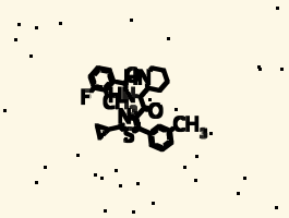 Cc1cccc(-c2sc(C3CC3)nc2C(=O)[C@@H](NC(=O)c2cccc(F)c2C)C2CCCCN2)c1